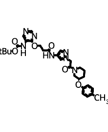 Cc1ccc(O[C@H]2CCCN(C(=O)Cn3cc(NC(=O)CCOc4ncncc4NC(=O)OC(C)(C)C)cn3)C2)cc1